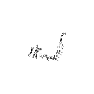 C.C.C.C.C.C.C.C.C.C.C.N=C=O.N=C=O.N=C=O.N=C=O